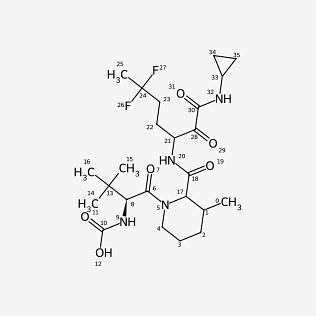 CC1CCCN(C(=O)[C@@H](NC(=O)O)C(C)(C)C)C1C(=O)NC(CCC(C)(F)F)C(=O)C(=O)NC1CC1